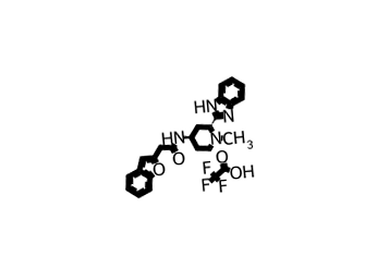 CN1CC[C@@H](NC(=O)Cc2cc3ccccc3o2)C[C@@H]1c1nc2ccccc2[nH]1.O=C(O)C(F)(F)F